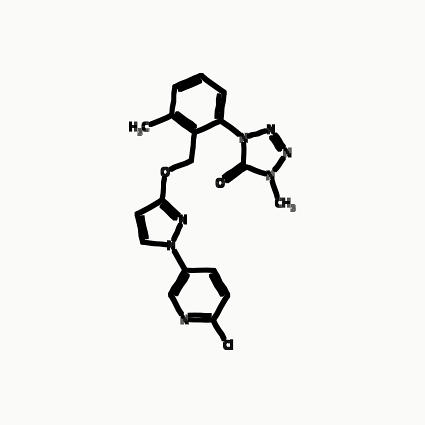 Cc1cccc(-n2nnn(C)c2=O)c1COc1ccn(-c2ccc(Cl)nc2)n1